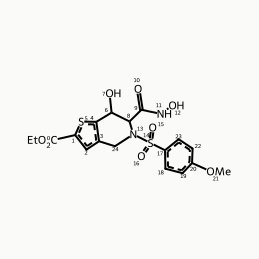 CCOC(=O)c1cc2c(s1)C(O)C(C(=O)NO)N(S(=O)(=O)c1ccc(OC)cc1)C2